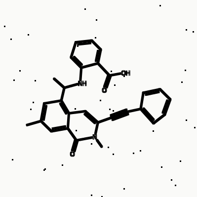 Cc1cc(C(C)Nc2ccccc2C(=O)O)c2cc(C#Cc3ccccc3)n(C)c(=O)c2c1